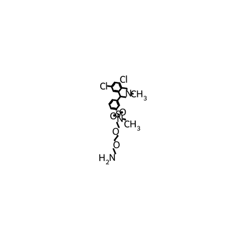 CCN(CCOCCOCCN)S(=O)(=O)c1cccc(C2CN(C)Cc3c(Cl)cc(Cl)cc32)c1